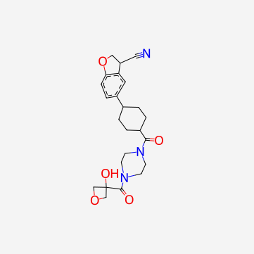 N#CC1COc2ccc(C3CCC(C(=O)N4CCN(C(=O)C5(O)COC5)CC4)CC3)cc21